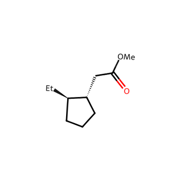 CC[C@@H]1CCC[C@H]1CC(=O)OC